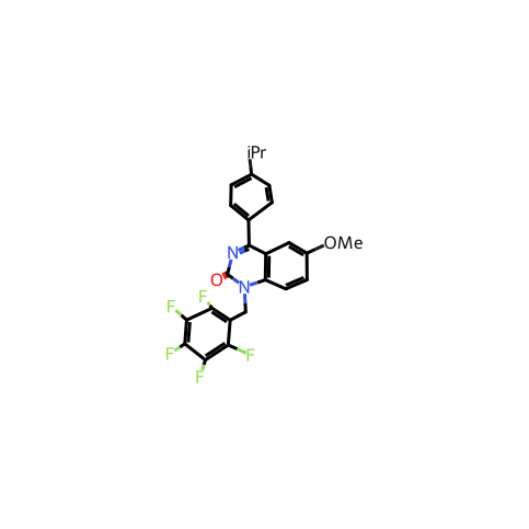 COc1ccc2c(c1)c(-c1ccc(C(C)C)cc1)nc(=O)n2Cc1c(F)c(F)c(F)c(F)c1F